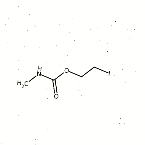 CNC(=O)OCCI